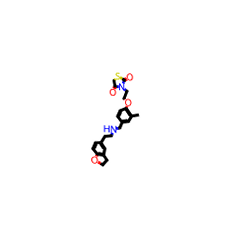 Cc1cc(CNCCc2ccc3c(c2)CCO3)ccc1OCCN1C(=O)CSC1=O